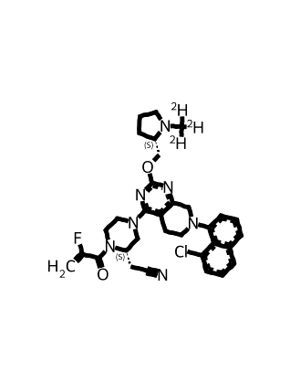 [2H]C([2H])([2H])N1CCC[C@H]1COc1nc2c(c(N3CCN(C(=O)C(=C)F)[C@@H](CC#N)C3)n1)CCN(c1cccc3cccc(Cl)c13)C2